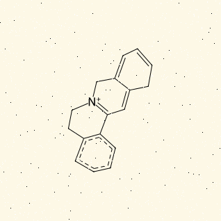 C1=CCC2=CC3=[N+](CCc4ccccc43)CC2=C1